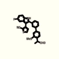 CSc1cc(-c2cccc(-c3[nH]c4ccc(F)cc4c3-c3ccsc3C#N)c2)ccc1C(C)C=O